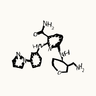 NCC1COCC[C@H]1Nc1ccc(C(N)=O)c(Nc2cccc(-n3cccn3)c2)n1